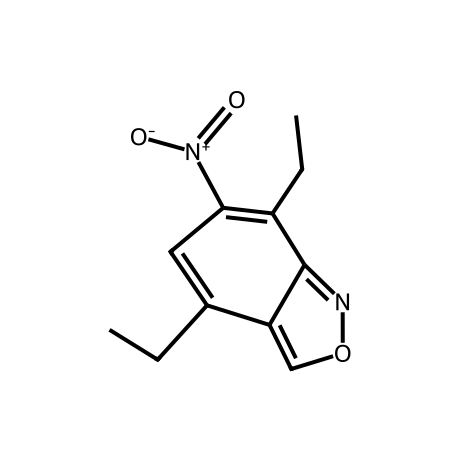 CCc1cc([N+](=O)[O-])c(CC)c2nocc12